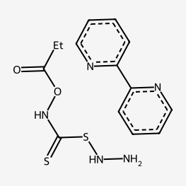 CCC(=O)ONC(=S)SNN.c1ccc(-c2ccccn2)nc1